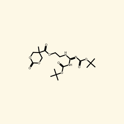 CC(C)(C)OC(=O)/N=C(/NCCOC(=O)C1(C)COC(=O)OC1)NC(=O)OC(C)(C)C